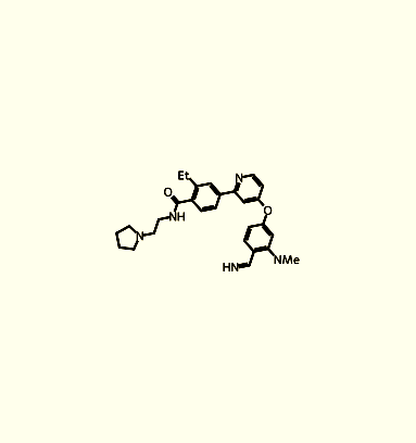 CCc1cc(-c2cc(Oc3ccc(C=N)c(NC)c3)ccn2)ccc1C(=O)NCCN1CCCC1